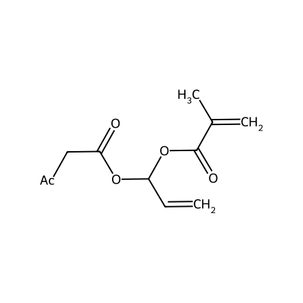 C=CC(OC(=O)CC(C)=O)OC(=O)C(=C)C